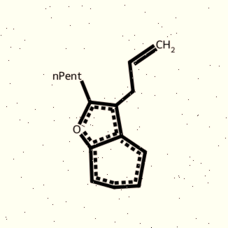 C=CCc1c(CCCCC)oc2ccccc12